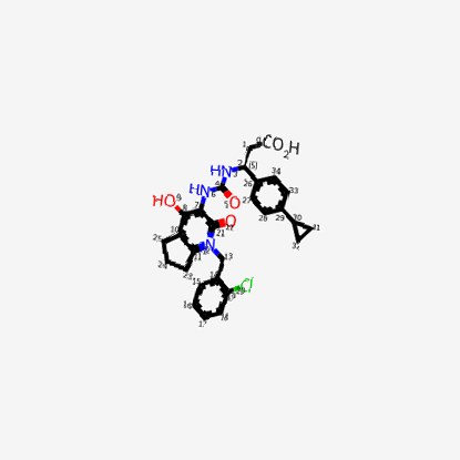 O=C(O)C[C@H](NC(=O)Nc1c(O)c2c(n(Cc3ccccc3Cl)c1=O)CCC2)c1ccc(C2CC2)cc1